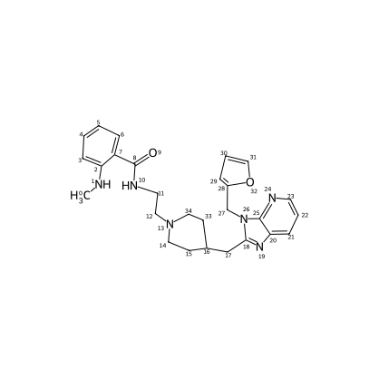 CNc1ccccc1C(=O)NCCN1CCC(Cc2nc3cccnc3n2Cc2ccco2)CC1